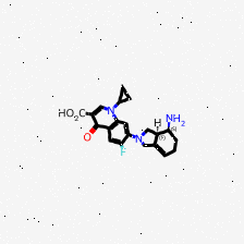 N[C@H]1CCC=C2CN(c3cc4c(cc3F)c(=O)c(C(=O)O)cn4C3CC3)C[C@H]21